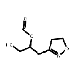 O=COC(CO)CC1=NOCC1